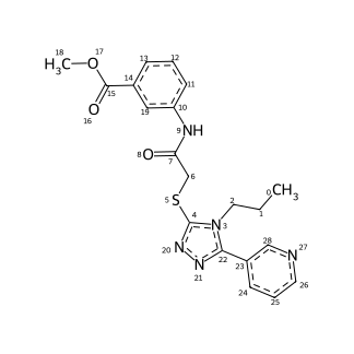 CCCn1c(SCC(=O)Nc2cccc(C(=O)OC)c2)nnc1-c1cccnc1